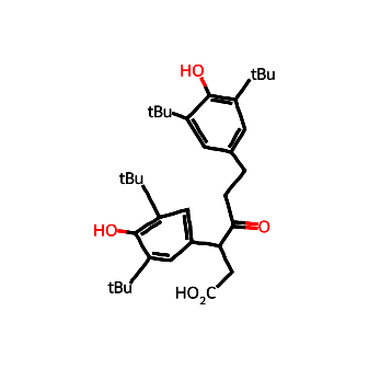 CC(C)(C)c1cc(CCC(=O)C(CC(=O)O)c2cc(C(C)(C)C)c(O)c(C(C)(C)C)c2)cc(C(C)(C)C)c1O